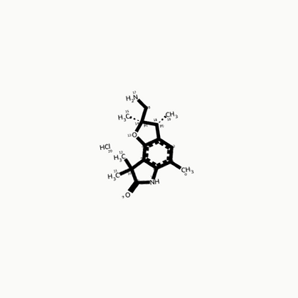 Cc1cc2c(c3c1NC(=O)C3(C)C)O[C@@](C)(CN)[C@@H]2C.Cl